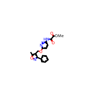 COC(=O)C(=O)Nc1ccc(OCc2c(-c3ccccc3)noc2C)nn1